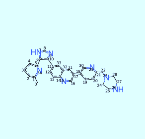 Cc1cccc(-c2[nH]cnc2-c2ccc3ncc(-c4ccc(CN5CCNCC5)nc4)cc3c2)n1